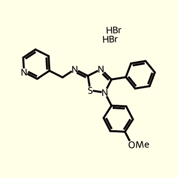 Br.Br.COc1ccc(-n2s/c(=N\Cc3cccnc3)nc2-c2ccccc2)cc1